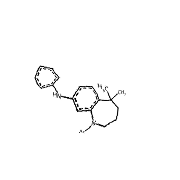 CC(=O)N1CCCC(C)(C)c2ccc(Nc3ccccc3)cc21